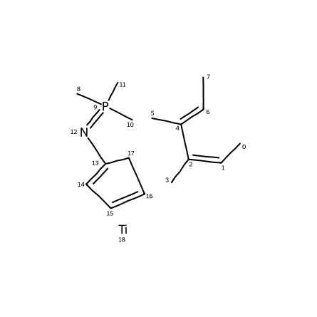 CC=C(C)C(C)=CC.CP(C)(C)=NC1=CC=CC1.[Ti]